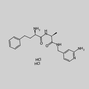 C[C@H](NC(=O)[C@H](N)CCc1ccccc1)C(=O)NCc1ccnc(N)c1.Cl.Cl